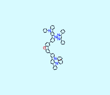 c1ccc(-c2cc(-c3ccccc3)nc(-n3c4ccc(-c5ccc6oc7ccc(-c8ccc9c(c8)c8ccc%10c%11ccccc%11n(-c%11ccccc%11)c%10c8n9-c8ccccc8)cc7c6c5)cc4c4cc5c(cc43)c3ccccc3n5-c3ccccc3)n2)cc1